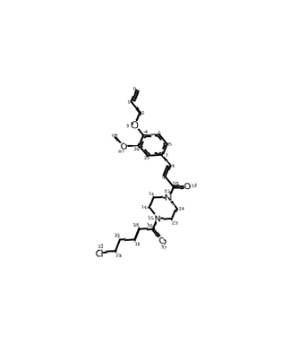 C=CCOc1ccc(C=CC(=O)N2CCN(C(=O)CCCCCl)CC2)cc1OC